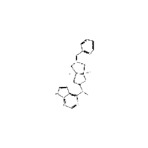 CN(c1ncnc2[nH]ccc12)C1C[C@@H]2CN(Cc3ccccc3)C[C@@H]2C1